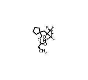 C=CC(=O)OCC1(CC(O)(C(F)(F)F)C(F)(F)F)CCCC1